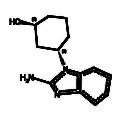 Nc1nc2ccccc2n1[C@H]1CCC[C@H](O)C1